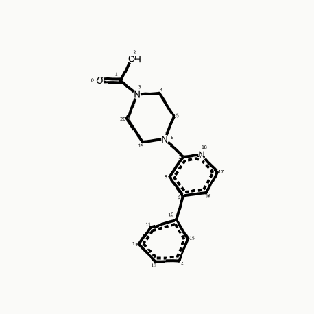 O=C(O)N1CCN(c2cc(-c3ccccc3)ccn2)CC1